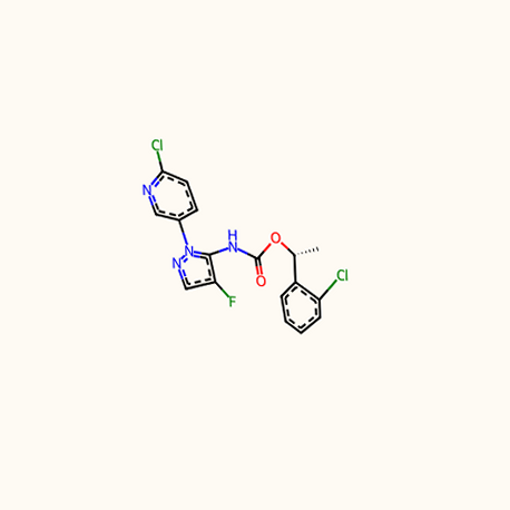 C[C@@H](OC(=O)Nc1c(F)cnn1-c1ccc(Cl)nc1)c1ccccc1Cl